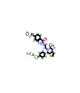 C[C@H]1Cc2ccsc2[C@H](c2ccc(Cl)cc2)N1CCNC(=O)c1ccc([N+](=O)[O-])cc1.Cl